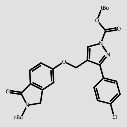 CCCCN1Cc2cc(OCc3cn(C(=O)OC(C)(C)C)nc3-c3ccc(Cl)cc3)ccc2C1=O